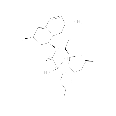 C[C@H]1C=C2C=C[C@H](C)[C@H](CC[C@@H]3C[C@@H](O)CC(=O)O3)[C@H]2[C@@H](OC(=O)C(C)(C)CCCO)C1